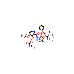 COc1ccnc(C(=O)N[C@@H](C)C(=O)OC(C(C)C)[C@@H](C)Oc2ccccc2)c1OCOC(C)=O